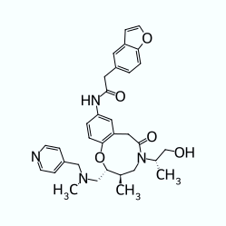 C[C@@H]1CN([C@@H](C)CO)C(=O)Cc2cc(NC(=O)Cc3ccc4occc4c3)ccc2O[C@H]1CN(C)Cc1ccncc1